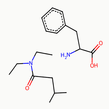 CCN(CC)C(=O)CC(C)C.NC(Cc1ccccc1)C(=O)O